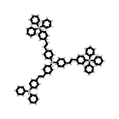 C(=C\c1ccc([SiH](c2ccccc2)c2ccccc2)cc1)/c1ccc(N(c2ccc(/C=C/c3ccc([Si](c4ccccc4)(c4ccccc4)c4ccccc4)cc3)cc2)c2ccc(/C=C/c3ccc([Si](c4ccccc4)(c4ccccc4)c4ccccc4)cc3)cc2)cc1